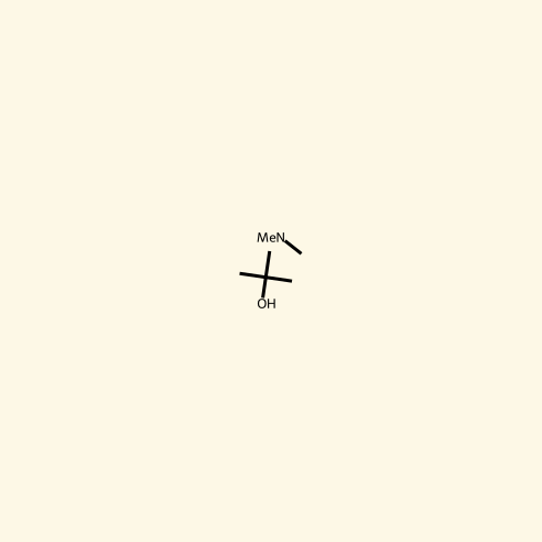 CC(C)(C)O.CNC